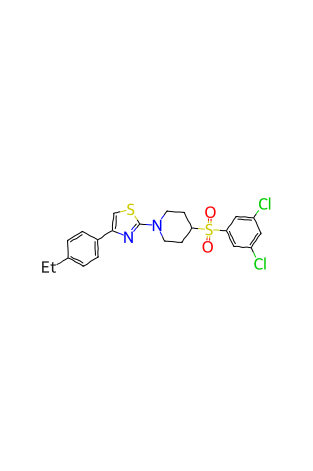 CCc1ccc(-c2csc(N3CCC(S(=O)(=O)c4cc(Cl)cc(Cl)c4)CC3)n2)cc1